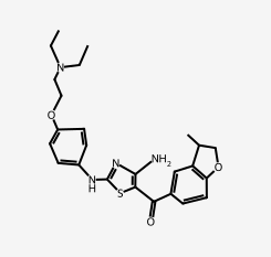 CCN(CC)CCOc1ccc(Nc2nc(N)c(C(=O)c3ccc4c(c3)C(C)CO4)s2)cc1